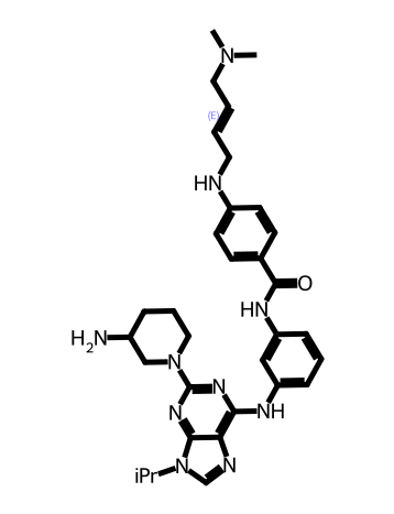 CC(C)n1cnc2c(Nc3cccc(NC(=O)c4ccc(NC/C=C/CN(C)C)cc4)c3)nc(N3CCCC(N)C3)nc21